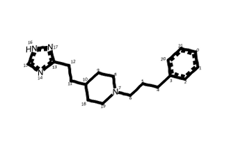 c1ccc(CCCN2CCC(CCc3nc[nH]n3)CC2)cc1